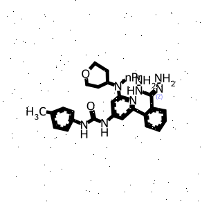 CCCN(c1cc(NC(=O)Nc2ccc(C)cc2)cc(-c2ccccc2/C(=N/N)NN)n1)C1CCOCC1